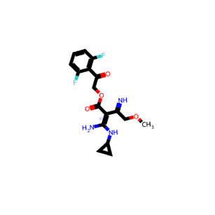 COCC(=N)/C(C(=O)OCC(=O)c1c(F)cccc1F)=C(/N)NC1CC1